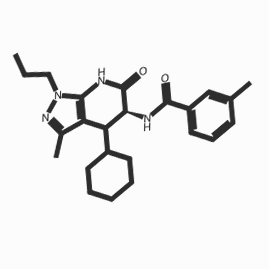 CCCn1nc(C)c2c1NC(=O)[C@@H](NC(=O)c1cccc(C)c1)C2C1CCCCC1